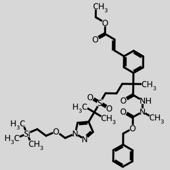 CCOC(=O)/C=C/c1cccc(C(C)(CCCS(=O)(=O)C(C)(C)c2cnn(COCC[Si](C)(C)C)c2)C(=O)NN(C)C(=O)OCc2ccccc2)c1